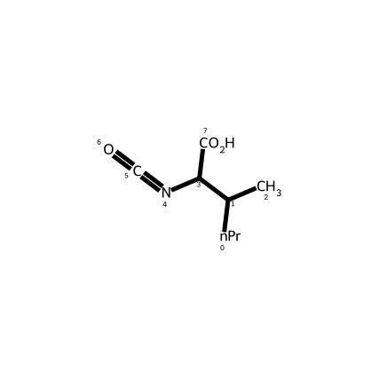 CCCC(C)C(N=C=O)C(=O)O